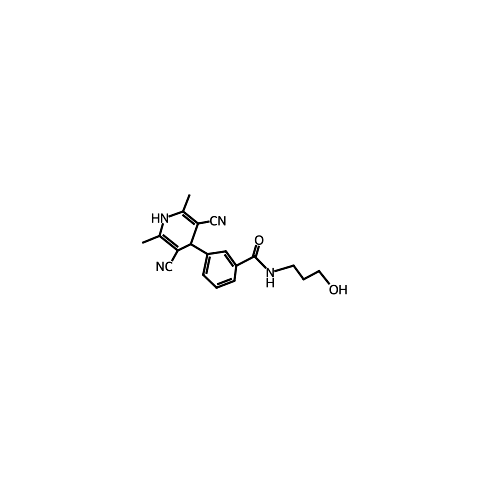 CC1=C(C#N)C(c2cccc(C(=O)NCCCO)c2)C(C#N)=C(C)N1